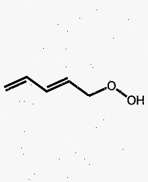 C=CC=CCOO